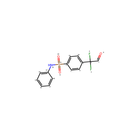 O=CC(F)(F)c1ccc(S(=O)(=O)Nc2ccccc2)cc1